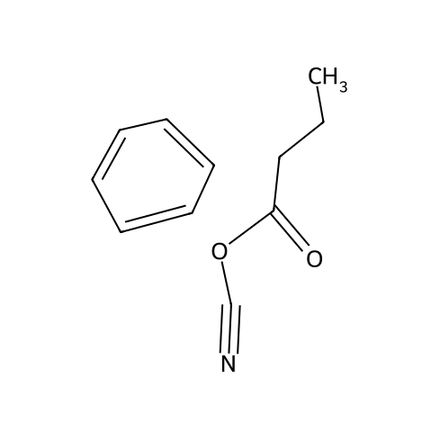 CCCC(=O)OC#N.c1ccccc1